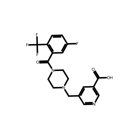 O=C(O)c1cncc(CN2CCN(C(=O)c3cc(F)ccc3C(F)(F)F)CC2)c1